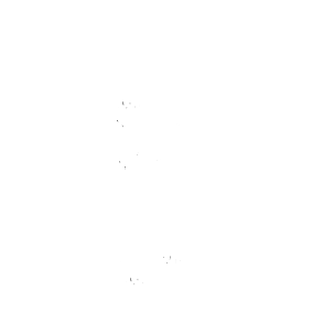 COc1ccc(CCNC(=O)C(NSC)c2ccc(-c3ccccc3)cc2)cc1OC